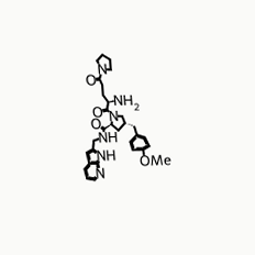 COc1ccc(C[C@@H]2C[C@@H](C(=O)NCc3cc4cccnc4[nH]3)N(C(=O)[C@H](N)CCC(=O)N3CCCC3)C2)cc1